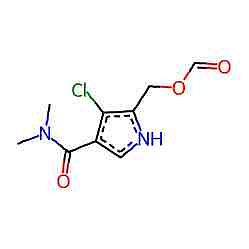 CN(C)C(=O)c1c[nH]c(COC=O)c1Cl